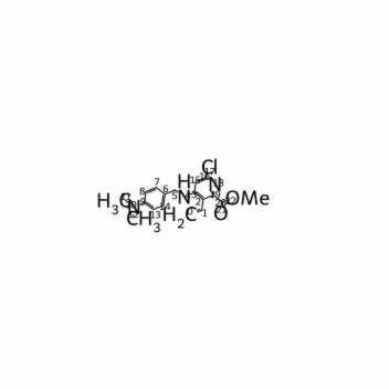 C=Cc1c(NCc2ccc(N(C)C)cc2)cc(Cl)nc1C(=O)OC